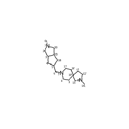 CN1CC2CC(CN3CCC4(CCN(C)C4)CC3)CC2C1